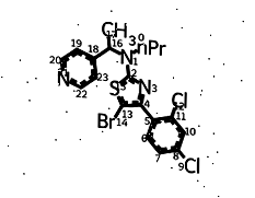 CCCN(c1nc(-c2ccc(Cl)cc2Cl)c(Br)s1)C(C)c1ccncc1